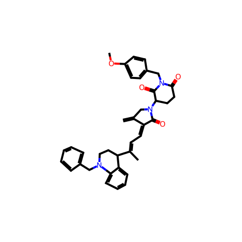 C=C1CN(C2CCC(=O)N(Cc3ccc(OC)cc3)C2=O)C(=O)/C1=C/C=C(\C)C1CCN(Cc2ccccc2)c2ccccc21